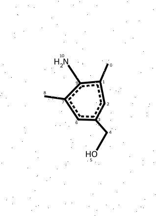 Cc1cc(CO)cc(C)c1N